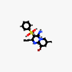 CSc1nc2c(Br)cc(C)cn2c(=N)c1S(=O)(=O)c1ccccc1